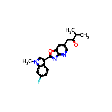 CC(C)C(=O)Cc1cnc2nc(-c3cn(C)c4cc(F)ccc34)oc2c1